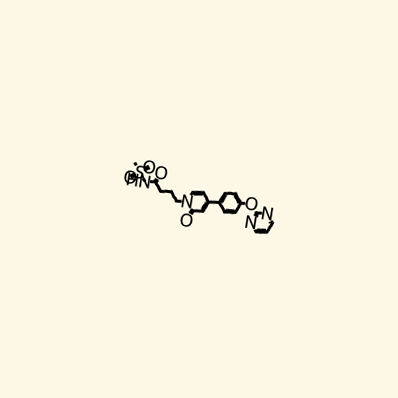 CS(=O)(=O)NC(=O)CCCn1ccc(-c2ccc(Oc3ncccn3)cc2)cc1=O